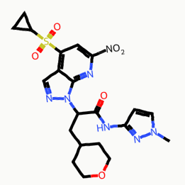 Cn1ccc(NC(=O)C(CC2CCOCC2)n2ncc3c(S(=O)(=O)C4CC4)cc([N+](=O)[O-])nc32)n1